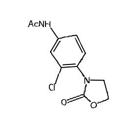 CC(=O)Nc1ccc(N2CCOC2=O)c(Cl)c1